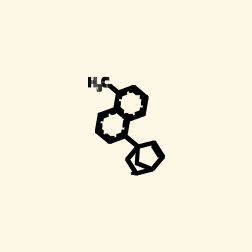 Cc1cccc2c(C34C=CC([CH]C3)C4)cccc12